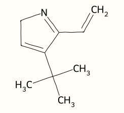 C=CC1=NCC=C1C(C)(C)C